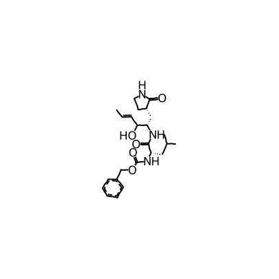 C/C=C/C(O)[C@H](C[C@@H]1CCNC1=O)NC(=O)[C@H](CC(C)C)NC(=O)OCc1ccccc1